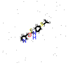 CC(C)CSc1ccc(NC(=S)OCc2cccnc2)cc1